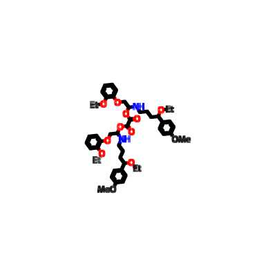 CCOc1ccccc1OCC(NCCCC(OCC)c1ccc(OC)cc1)OC(=O)C(=O)OC(COc1ccccc1OCC)NCCCC(OCC)c1ccc(OC)cc1